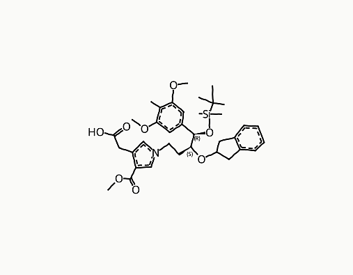 COC(=O)c1cn(CC[C@H](OC2Cc3ccccc3C2)[C@H](O[Si](C)(C)C(C)(C)C)c2cc(OC)c(C)c(OC)c2)cc1CC(=O)O